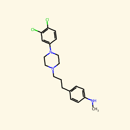 CNc1ccc(CCCN2CCN(c3ccc(Cl)c(Cl)c3)CC2)cc1